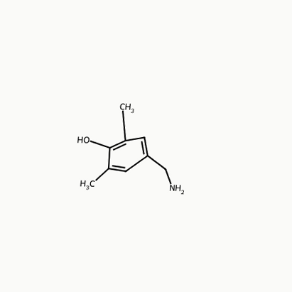 Cc1cc(CN)cc(C)c1O